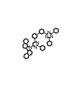 c1ccc(-c2nc(-c3cccc(-c4cccc(-c5nc(-c6ccccc6)nc(-c6ccccc6)n5)c4)c3)cc(-n3c4ccc5ccccc5c4c4ccc5ccccc5c43)n2)cc1